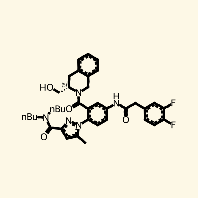 CCCCN(CCCC)C(=O)c1cc(C)n(-c2ccc(NC(=O)Cc3ccc(F)c(F)c3)cc2C(=O)N2Cc3ccccc3C[C@H]2CO)n1